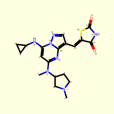 CN1CCC(N(C)c2cc(NC3CC3)n3ncc(C=C4SC(=O)NC4=O)c3n2)C1